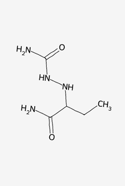 CCC(NNC(N)=O)C(N)=O